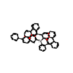 c1ccc(-c2ccc3cc(N(c4ccccc4-c4cc5ccccc5c5ccccc45)c4ccccc4-c4cc5ccccc5c5ccccc45)ccc3c2)cc1